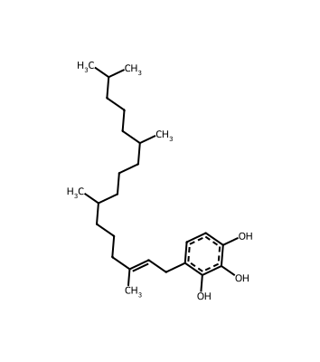 C/C(=C\Cc1ccc(O)c(O)c1O)CCCC(C)CCCC(C)CCCC(C)C